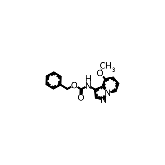 COc1cccn2ncc(NC(=O)OCc3ccccc3)c12